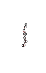 C=CC(=O)OCCCCOC(=O)c1ccc(OCc2ccc(OC(=O)c3ccc(OCCCCOCC4(C)COC4)cc3)cc2)cc1